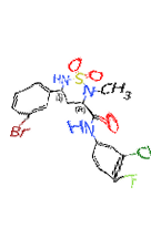 CN1[C@@H](C(=O)Nc2ccc(F)c(Cl)c2)C[C@@H](c2cccc(Br)c2)NS1(=O)=O